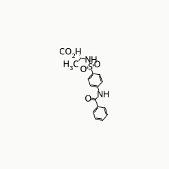 C[C@@H](NS(=O)(=O)c1ccc(NC(=O)c2ccccc2)cc1)C(=O)O